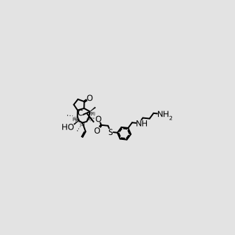 C=C[C@]1(C)C[C@@H](OC(=O)CSc2cccc(CNCCCN)c2)[C@]2(C)C(C)CCC3(CCC(=O)C32)[C@@H](C)[C@@H]1O